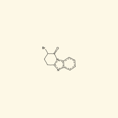 O=C1C(Br)CCc2nc3ccccc3n21